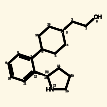 OCCN1CCC(c2ccccc2[C@H]2CCCN2)CC1